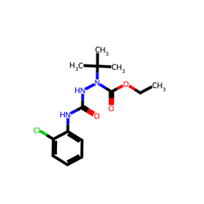 CCOC(=O)N(NC(=O)Nc1ccccc1Cl)C(C)(C)C